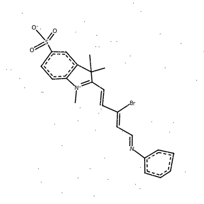 C[N+]1=C(/C=C/C(Br)=C/C=N/c2ccccc2)C(C)(C)c2cc(S(=O)(=O)[O-])ccc21